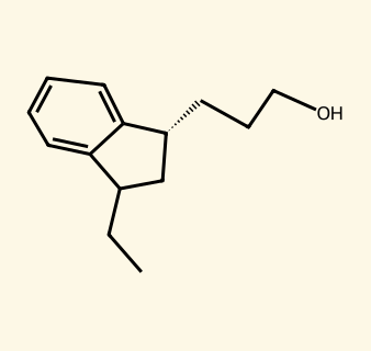 CCC1C[C@@H](CCCO)c2ccccc21